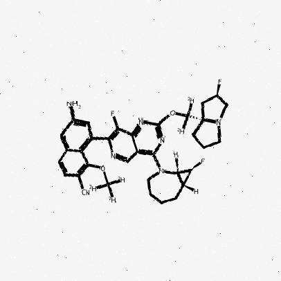 [2H]C([2H])([2H])Oc1c(C#N)ccc2cc(N)cc(-c3ncc4c(N5CCCC[C@H]6[C@H](F)[C@H]65)nc(OC([2H])([2H])[C@@]56CCCN5C[C@H](F)C6)nc4c3F)c12